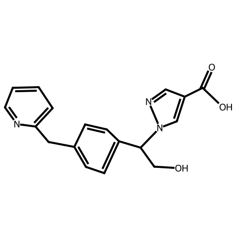 O=C(O)c1cnn(C(CO)c2ccc(Cc3ccccn3)cc2)c1